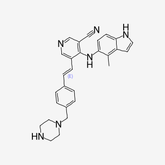 Cc1c(Nc2c(C#N)cncc2/C=C/c2ccc(CN3CCNCC3)cc2)ccc2[nH]ccc12